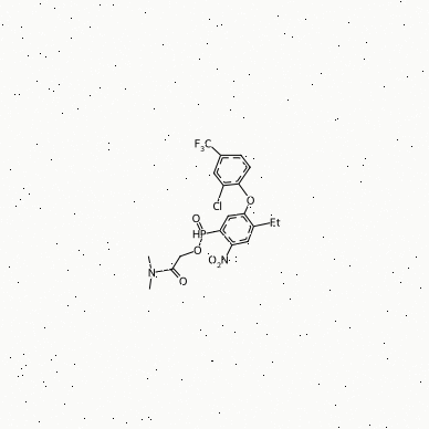 CCc1cc([N+](=O)[O-])c([PH](=O)OCC(=O)N(C)C)cc1Oc1ccc(C(F)(F)F)cc1Cl